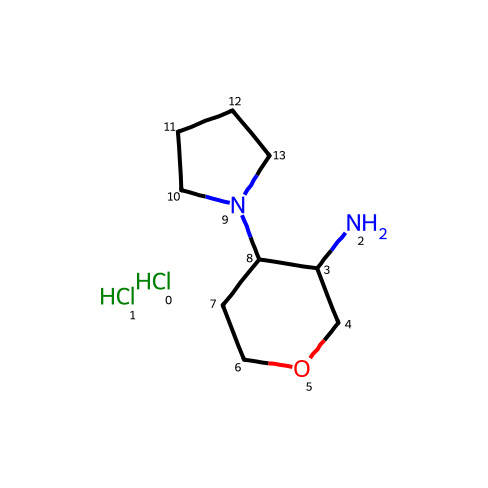 Cl.Cl.NC1COCCC1N1CCCC1